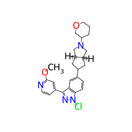 COc1cc(-c2nn(Cl)c3ccc(C4C[C@@H]5CN(C6CCCOC6)C[C@@H]5C4)cc23)ccn1